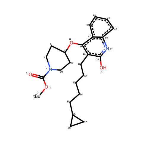 CC(C)(C)OC(=O)N1CCC(Oc2c(CCCCCC3CC3)c(O)nc3ccccc23)CC1